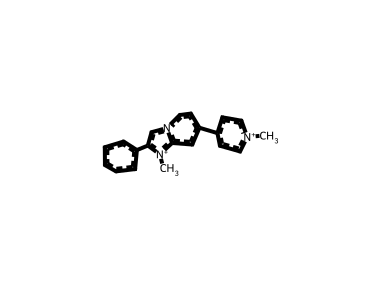 C[n+]1ccc(-c2ccn3cc(-c4ccccc4)[n+](C)c3c2)cc1